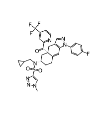 Cn1cc(S(=O)(=O)N(CC2CC2)[C@H]2CCC3=Cc4c(cnn4-c4ccc(F)cc4)C[C@]3(C(=O)c3cc(C(F)(F)F)ccn3)C2)nn1